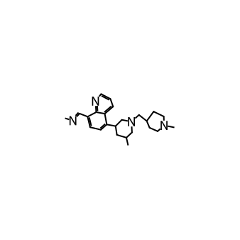 C/N=C/c1ccc(C2CC(C)CN(CC3CCN(C)CC3)C2)c2cccnc12